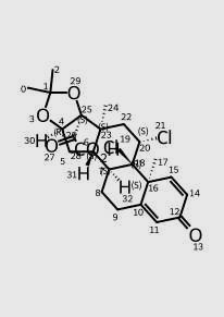 CC1(C)O[C@@H]2C[C@H]3[C@@H]4CCC5=CC(=O)C=C[C@]5(C)[C@@]4(Cl)[C@@H](Cl)C[C@]3(C)[C@]2(C(=O)C(=O)O)O1